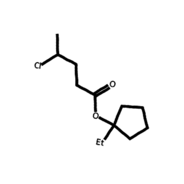 CCC1(OC(=O)CCC(C)Cl)CCCC1